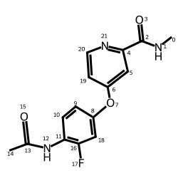 CNC(=O)c1cc(Oc2ccc(NC(C)=O)c(F)c2)ccn1